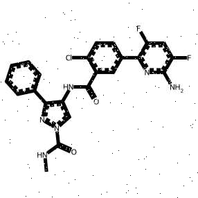 CNC(=O)n1cc(NC(=O)c2cc(-c3nc(N)c(F)cc3F)ccc2Cl)c(-c2ccccc2)n1